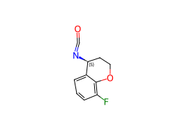 O=C=N[C@H]1CCOc2c(F)cccc21